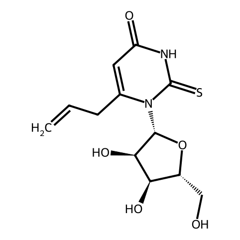 C=CCc1cc(=O)[nH]c(=S)n1[C@@H]1O[C@H](CO)[C@@H](O)[C@H]1O